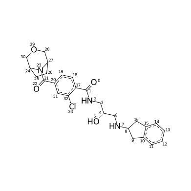 O=C(NC[C@@H](O)CNC1Cc2ccccc2C1)c1ccc(C(=O)N2C3CCC2COC3)cc1Cl